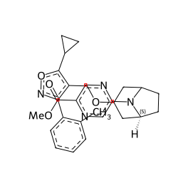 COC(=O)c1cnc(N2C3CC[C@H]2CC(OCc2c(-c4ccccc4C)noc2C2CC2)C3)cn1